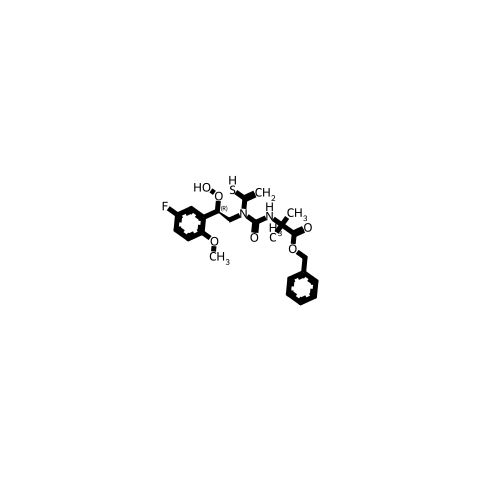 C=C(S)N(C[C@H](OO)c1cc(F)ccc1OC)C(=O)NC(C)(C)C(=O)OCc1ccccc1